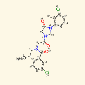 COCCN(CC(=O)N1CC(=O)N(c2cccc(Cl)c2C)C1)C(=O)c1cccc(Cl)c1